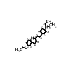 CCOc1ccc2nc(C=Cc3ccc(N(CC)CC)cc3)ccc2c1